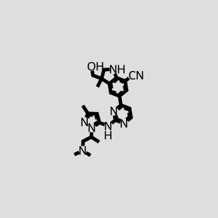 Cc1cc(Nc2nccc(-c3cc(C#N)c4c(c3)C(C)(CO)CN4)n2)n(C(C)CN(C)C)n1